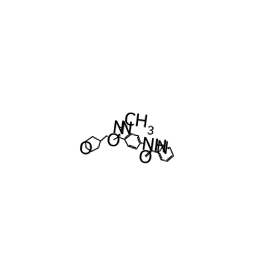 Cn1nc(OCC2CCOCC2)c2ccc(NC(=O)c3ccccn3)cc21